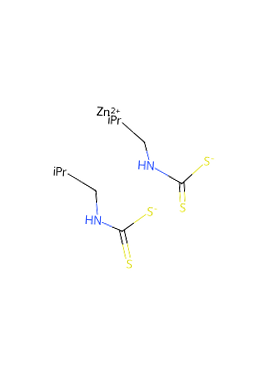 CC(C)CNC(=S)[S-].CC(C)CNC(=S)[S-].[Zn+2]